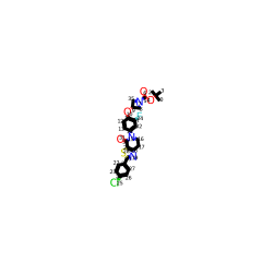 CC(C)(C)OC(=O)N1CC(Oc2ccc(N3CCc4nc(-c5ccc(Cl)cc5)sc4C3=O)cc2F)C1